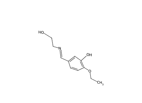 CCOc1ccc(C=NCCO)cc1O